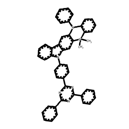 C[Si]1(C)c2ccccc2N(c2ccccc2)c2cc3c4ccccc4n(-c4ccc(-c5nc(-c6ccccc6)nc(-c6ccccc6)n5)cc4)c3cc21